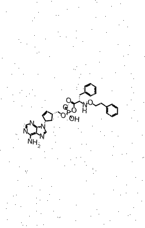 Nc1ncnc2c1ncn2[C@@H]1C=C[C@H](COP(=O)(O)OC(=O)[C@H](Cc2ccccc2)NOCCc2ccccc2)C1